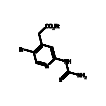 CCOC(=O)Cc1cc(NC(N)=S)ncc1Br